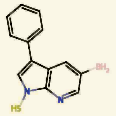 Bc1cnc2c(c1)c(-c1ccccc1)cn2S